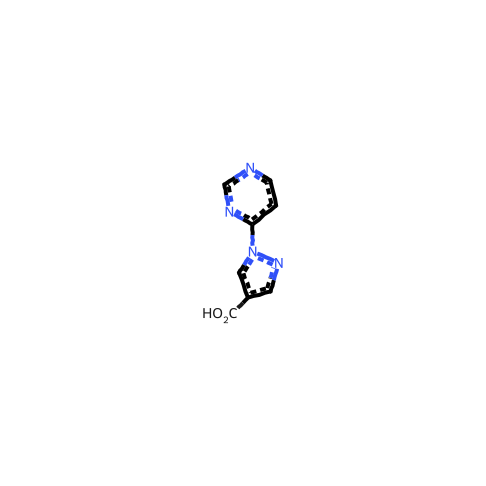 O=C(O)c1cnn(-c2ccncn2)c1